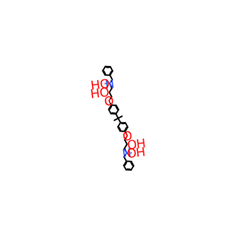 CC(C)(c1ccc(OCC(O)CN(O)Cc2ccccc2)cc1)c1ccc(OCC(O)CN(O)Cc2ccccc2)cc1